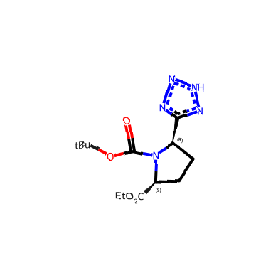 CCOC(=O)[C@@H]1CC[C@H](c2nn[nH]n2)N1C(=O)OC(C)(C)C